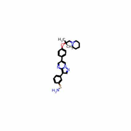 CC(C)(CN1CCCCC1)Oc1ccc(-c2cnc3c(-c4cccc(SN)c4)cnn3c2)cc1